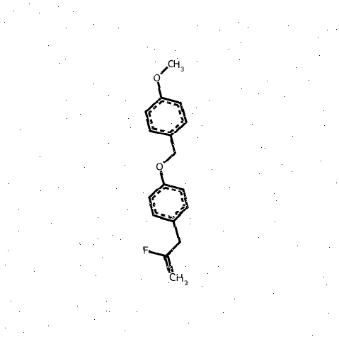 C=C(F)Cc1ccc(OCc2ccc(OC)cc2)cc1